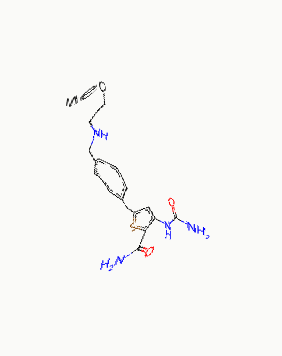 COCCNCc1ccc(-c2cc(NC(N)=O)c(C(N)=O)s2)cc1